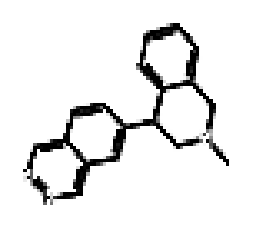 CN1Cc2ccccc2C(c2ccc3cnncc3c2)C1